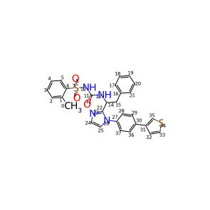 Cc1ccccc1S(=O)(=O)NC(=O)NC(Cc1ccccc1)c1nccn1-c1ccc(-c2ccsc2)cc1